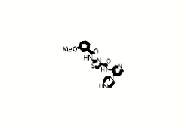 COc1cccc(C(=O)NC2=NC(C(=O)Nc3cnccc3N3CCNCC3)CS2)c1